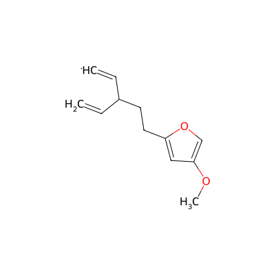 [CH]=CC(C=C)CCc1cc(OC)co1